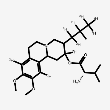 [2H]c1c2c(c([2H])c(OC)c1OC)C1CC([2H])(OC(=O)[C@@H](N)C(C)C)C(C([2H])([2H])C([2H])(C)C([2H])([2H])[2H])CN1CC2